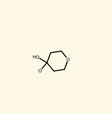 [O]C1(O)CCOCC1